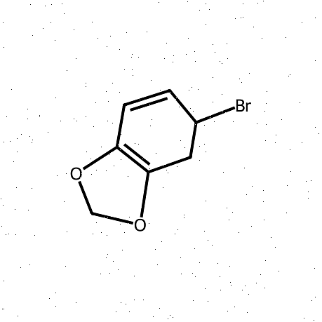 BrC1C=CC2=C(C1)OCO2